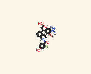 COc1ccc(C(=O)N2CCc3c(cccc3C(CC(=O)O)c3cc(OC)c4c(c3)nnn4C)C2)c(F)c1